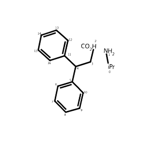 CC(C)N.O=C(O)CC(c1ccccc1)c1ccccc1